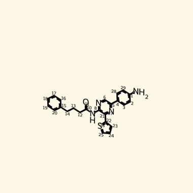 Nc1ccc(-c2cnc(NC(=O)CCCc3ccccc3)c(-c3cccs3)n2)cc1